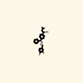 CCCC(CC(C)F)c1ccc(C(=NN=Cc2ccc(F)c(F)c2)c2ccccc2)cc1